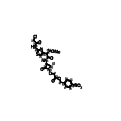 CO/N=C(\C(=O)N[C@@H]1C(=O)N(OCC(=O)OCc2ccc([N+](=O)[O-])cc2)[C@H]1C)c1csc(NC(=O)CCl)n1